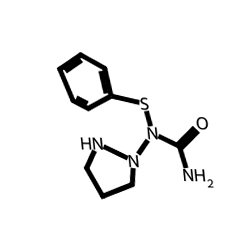 NC(=O)N(Sc1ccccc1)N1CCCN1